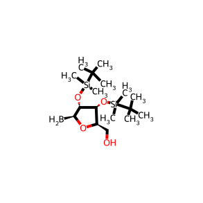 B[C@@H]1O[C@H](CO)[C@@H](O[Si](C)(C)C(C)(C)C)[C@H]1O[Si](C)(C)C(C)(C)C